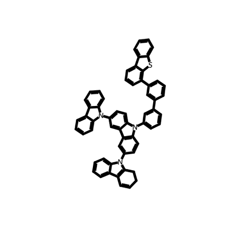 C1=Cc2c(n(-c3ccc4c(c3)c3cc(-n5c6ccccc6c6ccccc65)ccc3n4-c3cccc(-c4cccc(-c5cccc6c5sc5ccccc56)c4)c3)c3ccccc23)CC1